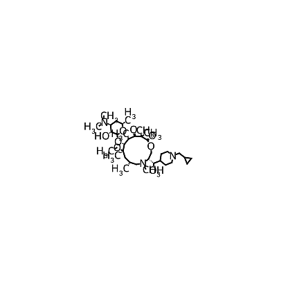 CO[C@]1(C)C[C@@H](C)CN(C)[C@@H](C(O)C2CCN(CC3CC3)CC2)COC(=O)C(C)(C)C(=O)[C@H](C)[C@H]1O[C@@H]1O[C@H](C)C[C@H](N(C)C)[C@H]1O